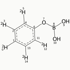 [2H]c1c([2H])c([2H])c(OB(O)O)c([2H])c1[2H]